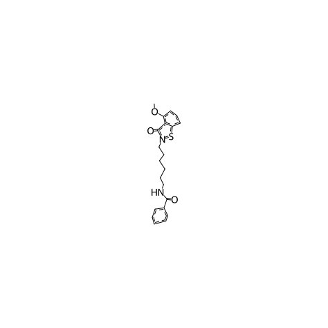 COc1cccc2sn(CCCCCCNC(=O)c3ccccc3)c(=O)c12